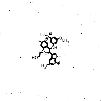 COc1cc(NC(C(=O)c2c[nH]c3c(F)cc(C)cc23)c2ccc(F)cc2OCCO)cc(S(C)(=O)=O)c1